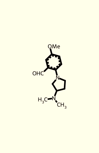 COc1ccc(N2CCC(N(C)C)C2)c(C=O)c1